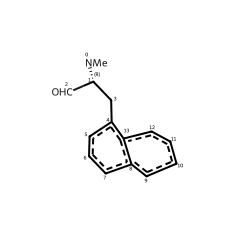 CN[C@@H](C=O)Cc1cccc2ccccc12